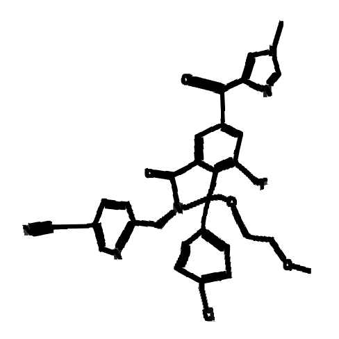 COCCOC1(c2ccc(Cl)cc2)c2c(F)cc(C(=O)c3cn(C)cn3)cc2C(=O)N1Cc1ccc(C#N)cn1